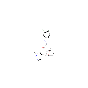 Cc1cc([C@H]2[C@H](C(=O)CNc3ccc(Cl)c(Cl)c3)[C@@H]3CC[C@H]2O3)ccn1